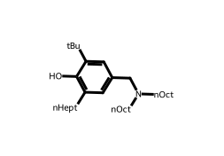 CCCCCCCCN(CCCCCCCC)Cc1cc(CCCCCCC)c(O)c(C(C)(C)C)c1